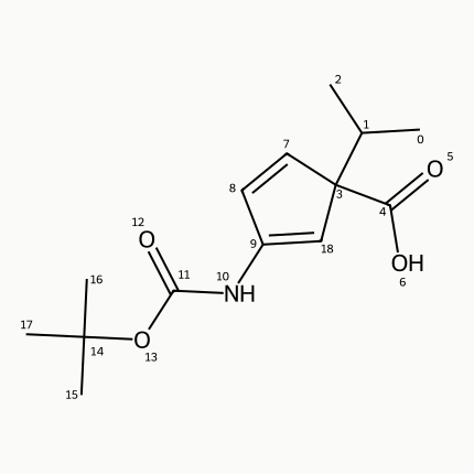 CC(C)C1(C(=O)O)C=CC(NC(=O)OC(C)(C)C)=C1